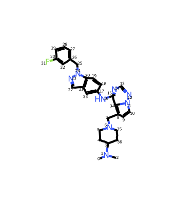 CN(C)C1CCN(Cc2ccn3ncnc(Nc4ccc5c(cnn5Cc5cccc(F)c5)c4)c23)CC1